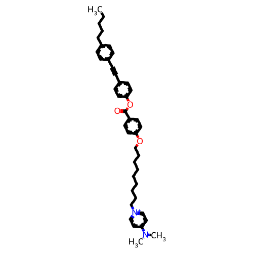 CCCCCc1ccc(C#Cc2ccc(OC(=O)c3ccc(OCCCCCCCCC[n+]4ccc(N(C)C)cc4)cc3)cc2)cc1